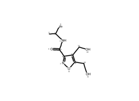 CC(C)C(C)NC(=O)c1noc(CO)c1CO